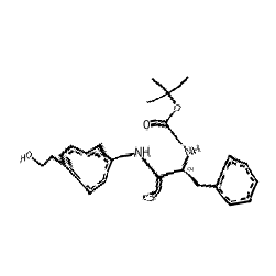 CC(C)(C)OC(=O)N[C@@H](Cc1ccccc1)C(=O)Nc1ccc(CO)cc1